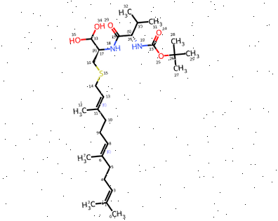 CC(C)=CCC/C(C)=C/CC/C(C)=C/CSC[C@H](NC(=O)[C@@H](NC(=O)OC(C)(C)C)C(C)C)C(O)O